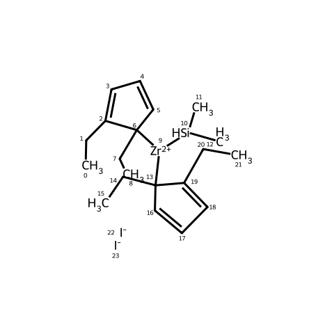 CCC1=CC=C[C]1(CC)[Zr+2]([SiH](C)C)[C]1(CC)C=CC=C1CC.[I-].[I-]